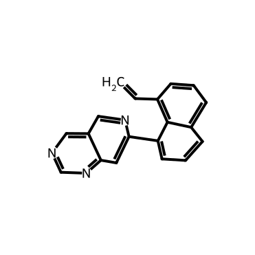 C=Cc1cccc2cccc(-c3cc4ncncc4cn3)c12